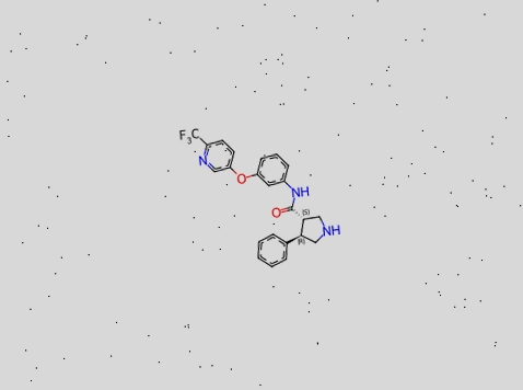 O=C(Nc1cccc(Oc2ccc(C(F)(F)F)nc2)c1)[C@@H]1CNC[C@H]1c1ccccc1